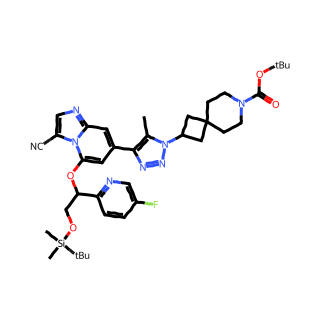 Cc1c(-c2cc(OC(CO[Si](C)(C)C(C)(C)C)c3ccc(F)cn3)n3c(C#N)cnc3c2)nnn1C1CC2(CCN(C(=O)OC(C)(C)C)CC2)C1